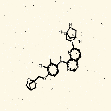 Fc1c(Nc2ncnc3ccc(N4C[C@@H]5C[C@H]4CN5)nc23)ccc(OCC23CC(CO2)C3)c1Cl